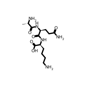 C[C@H](N)C(=O)N[C@@H](CCC(N)=O)C(=O)N[C@@H](CCCCN)C(=O)O